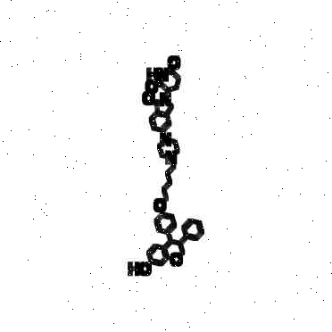 O=C1CCC(N2Cc3cc(N4CCN(CCCCCOc5ccc(C6c7ccc(O)cc7OCC6c6ccccc6)cc5)CC4)ccc3C2=O)C(=O)N1